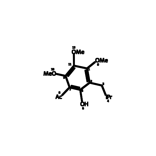 COc1c(CC(C)C)c(O)c(C(C)=O)c(OC)c1OC